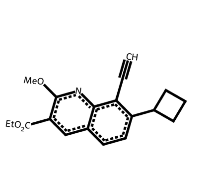 C#Cc1c(C2CCC2)ccc2cc(C(=O)OCC)c(OC)nc12